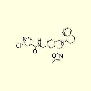 Cc1cnc(CCN(Cc2ccc(CNC(=O)c3ccnc(Cl)c3)cc2)C2CCCc3cccnc32)o1